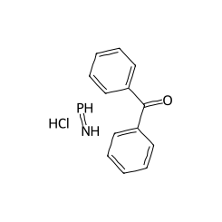 Cl.N=P.O=C(c1ccccc1)c1ccccc1